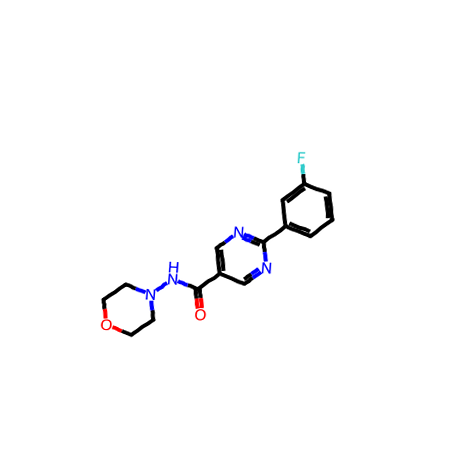 O=C(NN1CCOCC1)c1cnc(-c2cccc(F)c2)nc1